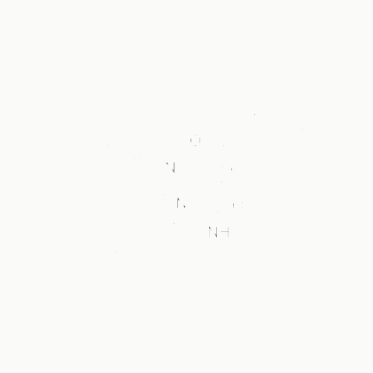 O=C1NCCn2c(C(c3cccc4ccccc34)C3CCCC3)nc(=O)c(OCc3ccccc3)c21